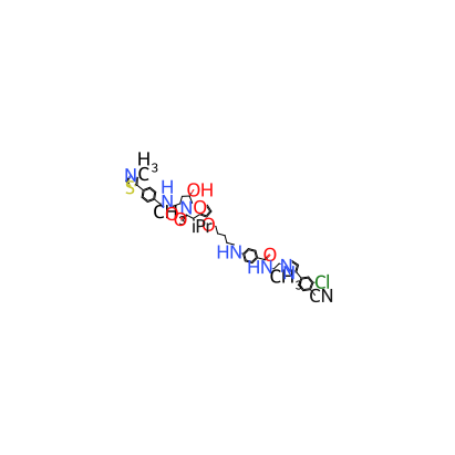 Cc1ncsc1-c1ccc([C@H](C)NC(=O)C2C[C@@H](O)CN2C(=O)[C@@H](c2occc2OCCCCCNc2ccc(C(=O)NC(C)Cn3ccc(-c4ccc(C#N)c(Cl)c4)n3)cc2)C(C)C)cc1